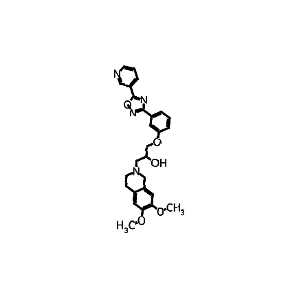 COc1cc2c(cc1OC)CN(CC(O)COc1cccc(-c3noc(-c4cccnc4)n3)c1)CC2